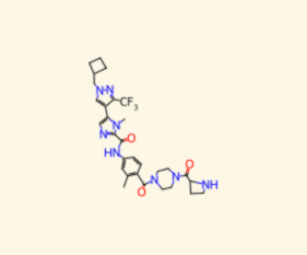 Cc1cc(NC(=O)c2ncc(-c3cn(CC4CCC4)nc3C(F)(F)F)n2C)ccc1C(=O)N1CCN(C(=O)C2CCN2)CC1